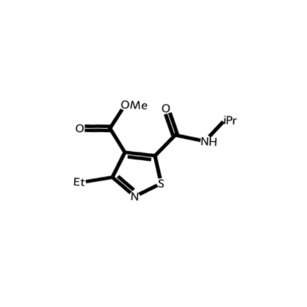 CCc1nsc(C(=O)NC(C)C)c1C(=O)OC